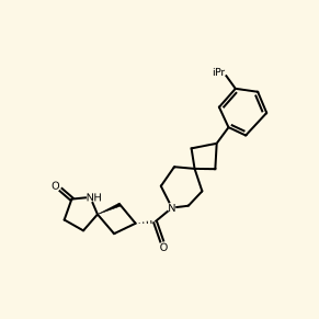 CC(C)c1cccc(C2CC3(CCN(C(=O)[C@H]4C[C@]5(CCC(=O)N5)C4)CC3)C2)c1